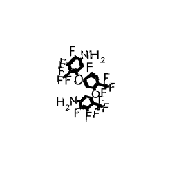 Nc1cc(Oc2cc(Oc3cc(N)c(F)c(F)c3C(F)(F)F)c(C(F)(F)F)cc2F)c(C(F)(F)F)c(F)c1F